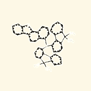 CC1(C)c2ccccc2-c2c(N(c3cccc4c3-c3ccccc3C4(C)C)c3cccc4c3ccc3c5ccccc5oc43)cccc21